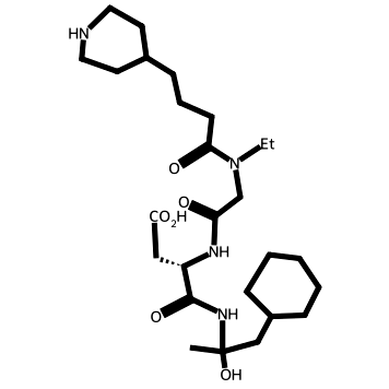 CCN(CC(=O)N[C@@H](CC(=O)O)C(=O)NC(C)(O)CC1CCCCC1)C(=O)CCCC1CCNCC1